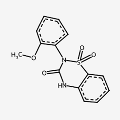 COc1ccccc1N1C(=O)Nc2ccccc2S1(=O)=O